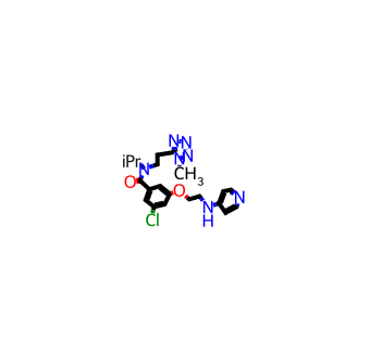 CC(C)N(CCc1nnnn1C)C(=O)c1cc(Cl)cc(OCCNc2ccncc2)c1